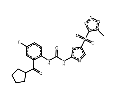 Cn1nnnc1S(=O)(=O)c1cnc(NC(=O)Nc2ccc(F)cc2C(=O)C2CCCC2)s1